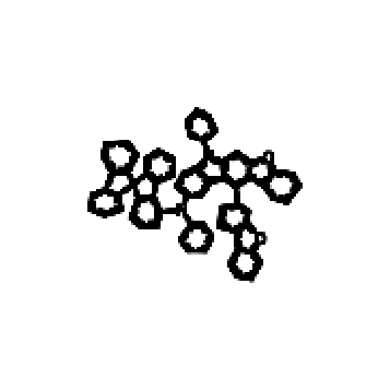 c1ccc(N(c2ccc3c(c2)c2c(-c4ccc5c(c4)oc4ccccc45)c4c(cc2n3-c2ccccc2)oc2ccccc24)c2cccc3c2-c2ccccc2C32c3ccccc3-c3ccccc32)cc1